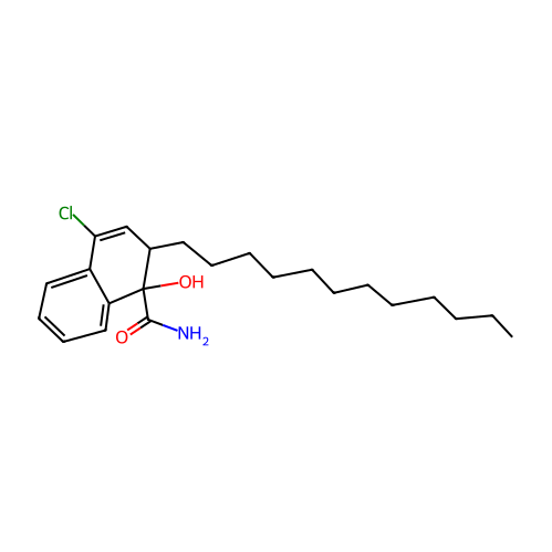 CCCCCCCCCCCCC1C=C(Cl)c2ccccc2C1(O)C(N)=O